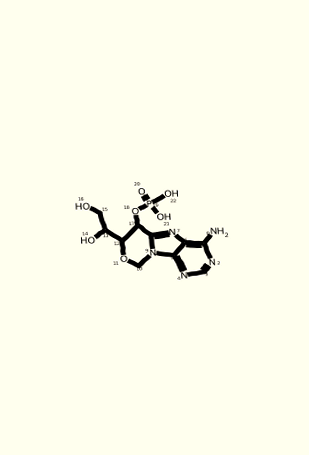 Nc1ncnc2c1nc1n2COC(C(O)CO)C1OP(=O)(O)O